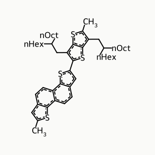 CCCCCCCCC(CCCCCC)Cc1c(C)sc2c(CC(CCCCCC)CCCCCCCC)c(-c3cc4ccc5c(ccc6cc(C)sc65)c4s3)sc12